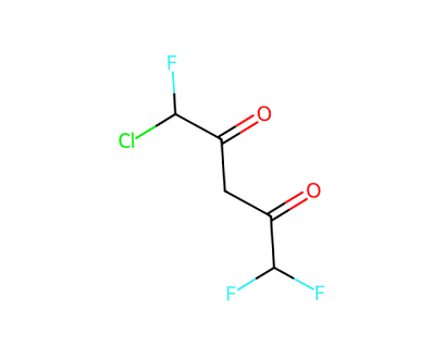 O=C(CC(=O)C(F)Cl)C(F)F